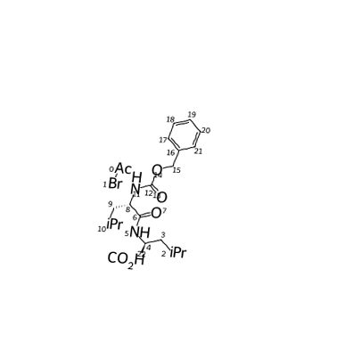 CC(=O)Br.CC(C)C[C@H](NC(=O)[C@H](CC(C)C)NC(=O)OCc1ccccc1)C(=O)O